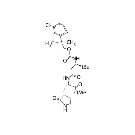 COC(=O)[C@H](C[C@@H]1CCNC1=O)NC(=O)C[C@@H](NC(=O)OCC(C)(C)c1cccc(Cl)c1)C(C)(C)C